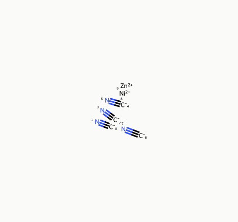 [C-]#N.[C-]#N.[C-]#N.[C-]#N.[Ni+2].[Zn+2]